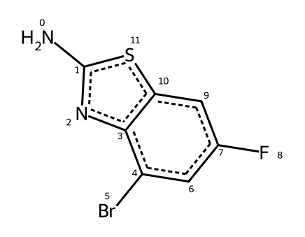 Nc1nc2c(Br)cc(F)cc2s1